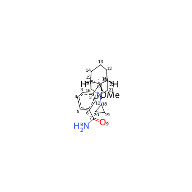 CO[C@]1(c2cccc(C(N)=O)c2)[C@@H]2CCC[C@H]1CN(C1CC1)C2